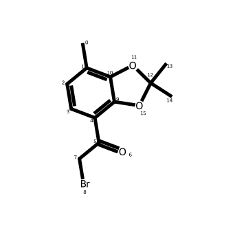 Cc1ccc(C(=O)CBr)c2c1OC(C)(C)O2